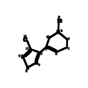 CCN1CCC=C(c2nsnc2Cl)C1